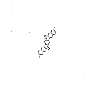 Cc1ccc2cc3c(cc2c1)sc1cc2c(cc13)sc1cc3cc(C)ccc3cc12